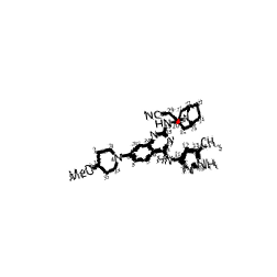 COC1CCN(c2ccc3c(Nc4cc(C)[nH]n4)nc(NC4CC5CCC(C4)N5CCC#N)nc3c2)CC1